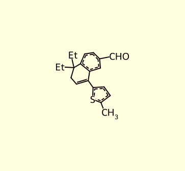 CCC1(CC)CC=C(c2ccc(C)s2)c2cc(C=O)ccc21